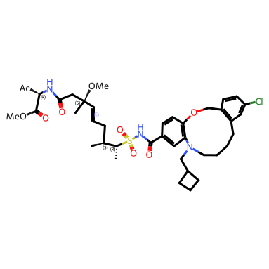 COC(=O)[C@H](NC(=O)C[C@@](C)(/C=C/C[C@H](C)[C@@H](C)S(=O)(=O)NC(=O)c1ccc2c(c1)N(CC1CCC1)CCCCc1cc(Cl)ccc1CO2)OC)C(C)=O